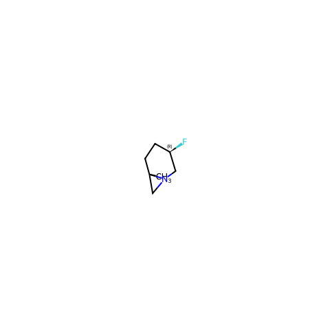 CC12CC[C@@H](F)CN1C2